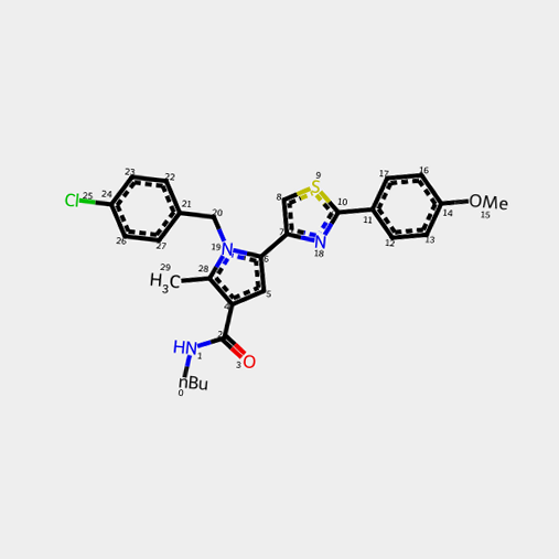 CCCCNC(=O)c1cc(-c2csc(-c3ccc(OC)cc3)n2)n(Cc2ccc(Cl)cc2)c1C